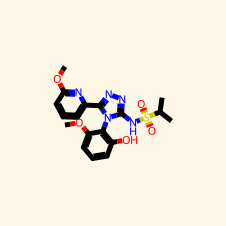 COC1=NC(c2nnc(NS(=O)(=O)C(C)C)n2-c2c(O)cccc2OC)=C=C=C1